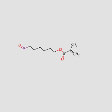 C=C(C)C(=O)OCCCCCCP=O